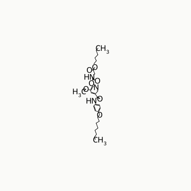 CCCCCCCCOc1ccc(NC(=O)c2cnc(OC(=O)NCC(=O)OCCCCCC)c(OC)c2)cc1